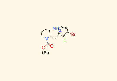 CC(C)(C)OC(=O)N1CCC[C@H](N)[C@@H]1Cc1cccc(Br)c1F